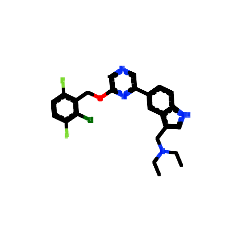 CCN(CC)Cc1c[nH]c2ccc(-c3cn[c]c(OCc4c(F)ccc(F)c4Cl)n3)cc12